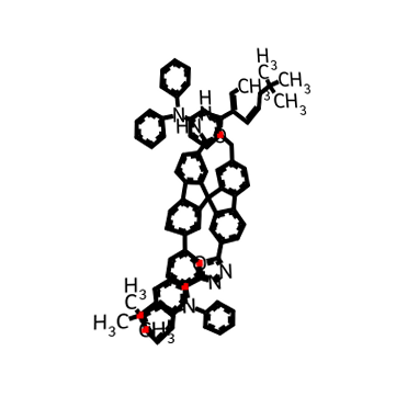 C/C=C(\C=C/CC(C)(C)C)C1NNC(c2ccc3c(c2)C2(c4cc(Cc5ccc(N(c6ccccc6)c6ccccc6)cc5)ccc4-c4ccc(-c5nnc(-c6ccc(C(C)(C)C)cc6)o5)cc42)c2cc(-c4ccc(N(c5ccccc5)c5ccccc5)cc4)ccc2-3)O1